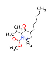 CCCCCCC(CC)C(=O)[C@@H](NC(=O)OC)C(C)C